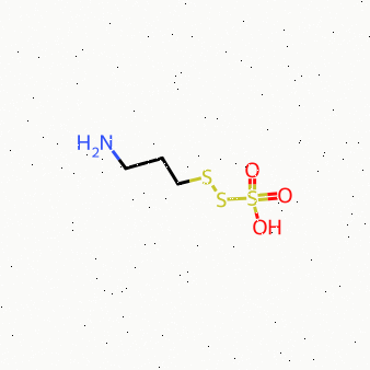 NCCCSSS(=O)(=O)O